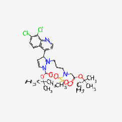 CC(C)(C)OC(=O)CN(CCCN1C(c2ccnc3c(Cl)c(Cl)ccc23)C=CN1C(=O)OC(C)(C)C)S(C)(=O)=O